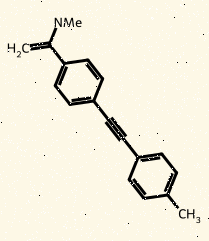 C=C(NC)c1ccc(C#Cc2ccc(C)cc2)cc1